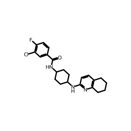 O=C(NC1CCC(Nc2ccc3c(n2)CCCC3)CC1)c1ccc(F)c(Cl)c1